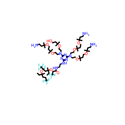 CCC(C)(CC(F)(OC(C)(CC)CCC(F)(F)F)C(F)(F)F)OC(C(=O)NCCNc1nc(N(CCOC(C)(C)CCO)CCOC(C)(C)CCOC(C)(C)CCN)nc(N(CCOC(C)(C)CCOC(C)(C)CCN)CCOC(C)(C)CCOC(C)(C)CCN)n1)C(F)(F)F